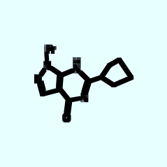 CC(C)n1ncc2c(=O)nc(C3CCCC3)[nH]c21